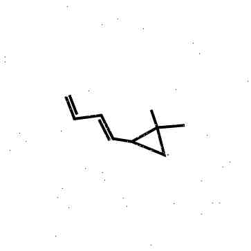 C=C/C=C/C1[CH]C1(C)C